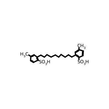 Cc1ccc(S(=O)(=O)O)c(CCCCCCCCCCc2cc(C)ccc2S(=O)(=O)O)c1